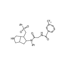 CC(C)N(C(=O)CNC(=O)c1cccc(C(F)(F)F)c1)C1CC2CNCC2C1CS(=O)(=O)C(C)C